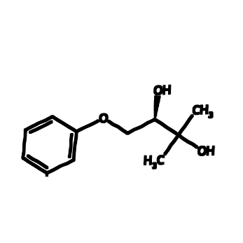 CC(C)(O)[C@H](O)COc1c[c]ccc1